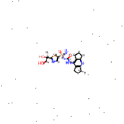 C[C@H]1CCc2c1nc1c(c2NC(=O)N=S(N)(=O)c2cnc([C@](C)(O)CO)s2)CCC1